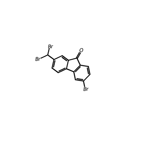 O=C1c2cc(C(Br)Br)ccc2-c2cc(Br)ccc21